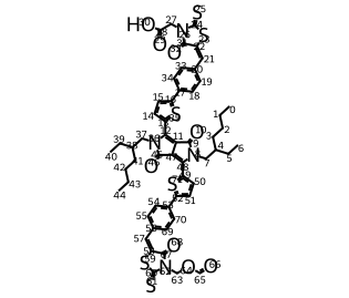 CCCCC(CC)CN1C(=O)C2=C(c3ccc(-c4ccc(/C=C5/SC(=S)N(CC(=O)O)C5=O)cc4)s3)N(CC(CC)CCCC)C(=O)C2=C1c1ccc(-c2ccc(/C=C3/SC(=S)N(COC=O)C3=O)cc2)s1